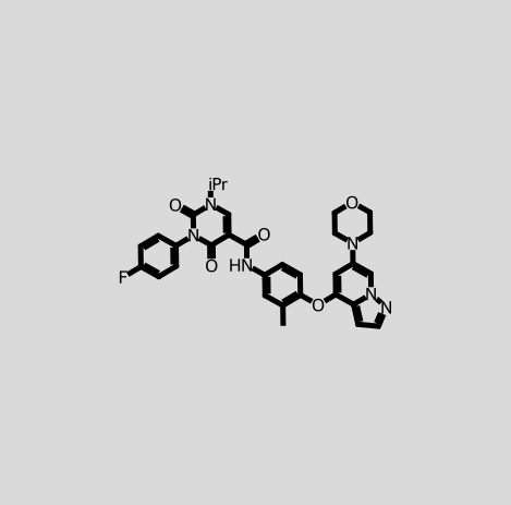 Cc1cc(NC(=O)c2cn(C(C)C)c(=O)n(-c3ccc(F)cc3)c2=O)ccc1Oc1cc(N2CCOCC2)cn2nccc12